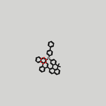 CC1(C)c2ccc(N(c3ccc(-c4ccccc4)cc3)c3ccc4ccccc4c3)cc2-c2c(-c3cc4ccccc4c4ccccc34)ccc3cccc1c23